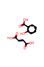 O=C(O)C=CC(=O)O.O=C(O)c1ccccc1O